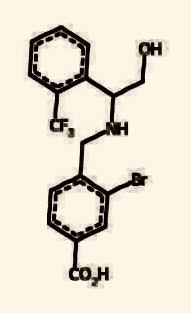 O=C(O)c1ccc(CNC(CO)c2ccccc2C(F)(F)F)c(Br)c1